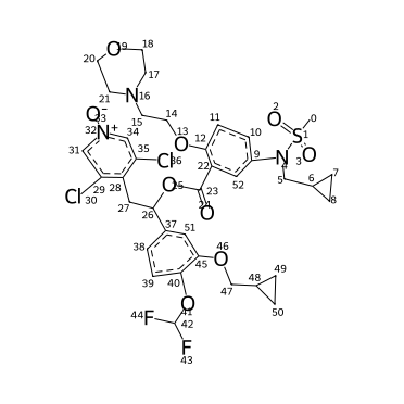 CS(=O)(=O)N(CC1CC1)c1ccc(OCCN2CCOCC2)c(C(=O)OC(Cc2c(Cl)c[n+]([O-])cc2Cl)c2ccc(OC(F)F)c(OCC3CC3)c2)c1